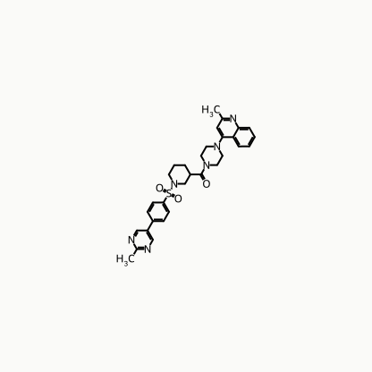 Cc1cc(N2CCN(C(=O)C3CCCN(S(=O)(=O)c4ccc(-c5cnc(C)nc5)cc4)C3)CC2)c2ccccc2n1